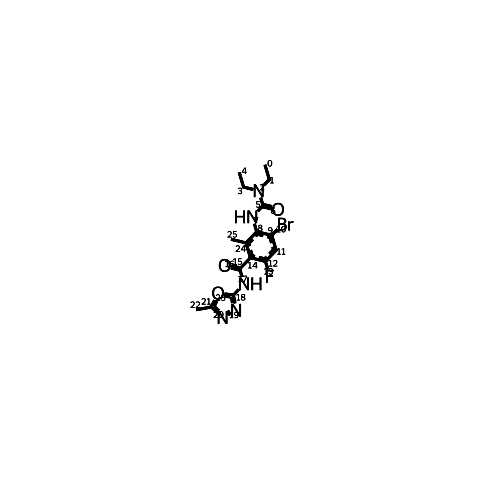 CCN(CC)C(=O)Nc1c(Br)cc(F)c(C(=O)Nc2nnc(C)o2)c1C